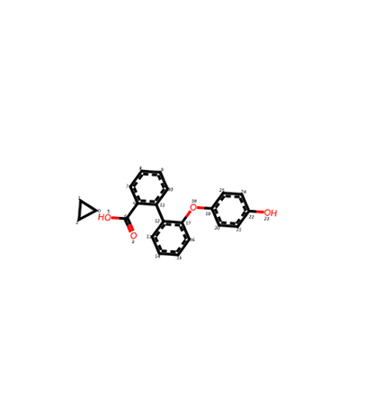 C1CC1.O=C(O)c1ccccc1-c1ccccc1Oc1ccc(O)cc1